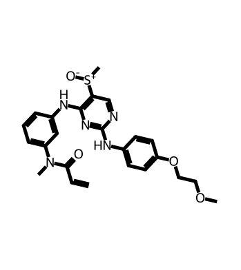 C=CC(=O)N(C)c1cccc(Nc2nc(Nc3ccc(OCCOC)cc3)ncc2[S+](C)[O-])c1